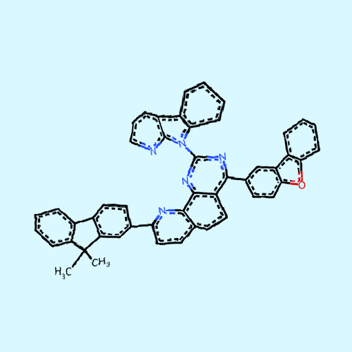 CC1(C)c2ccccc2-c2ccc(-c3ccc4ccc5c(-c6ccc7oc8ccccc8c7c6)nc(-n6c7ccccc7c7cccnc76)nc5c4n3)cc21